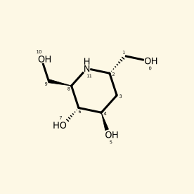 OC[C@@H]1C[C@@H](O)[C@H](O)[C@@H](CO)N1